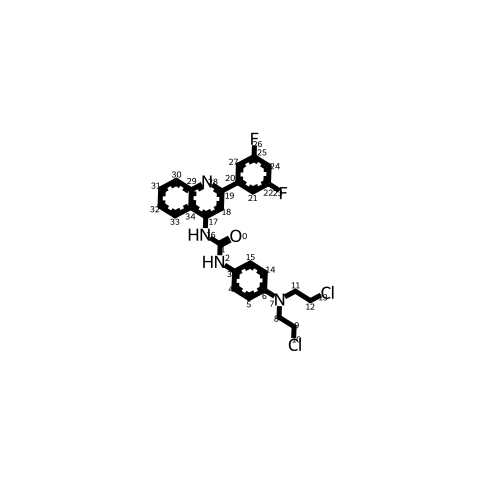 O=C(Nc1ccc(N(CCCl)CCCl)cc1)Nc1cc(-c2cc(F)cc(F)c2)nc2ccccc12